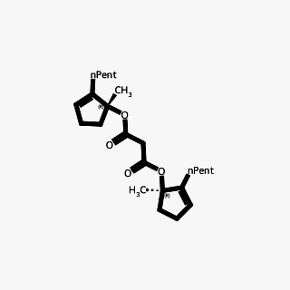 CCCCCC1=CCC[C@@]1(C)OC(=O)CC(=O)O[C@]1(C)CCC=C1CCCCC